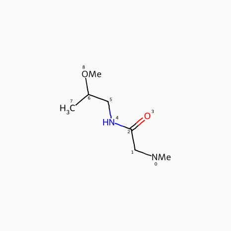 CNCC(=O)NCC(C)OC